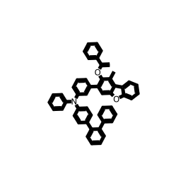 C=C(Oc1c(-c2cccc(N(c3ccccc3)c3ccc(-c4ccccc4-c4ccccc4)cc3)c2)cc2oc3ccccc3c2c1C)c1ccccc1